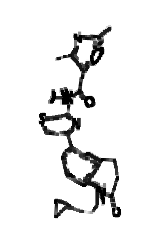 Cc1nc(C)c(C(=O)Nc2nc(-c3ccc4c(c3)CCC(=O)N4CC3CC3)cs2)o1